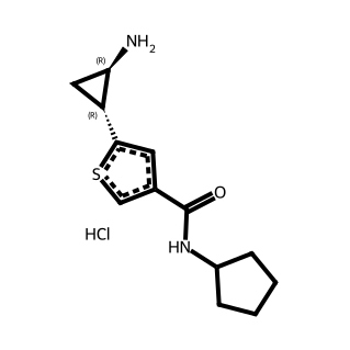 Cl.N[C@@H]1C[C@H]1c1cc(C(=O)NC2CCCC2)cs1